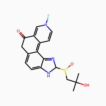 CC(C)(O)C[S+]([O-])C1N=c2c(ccc3c2=C2C=CN(F)C=C2C(=O)C3)N1